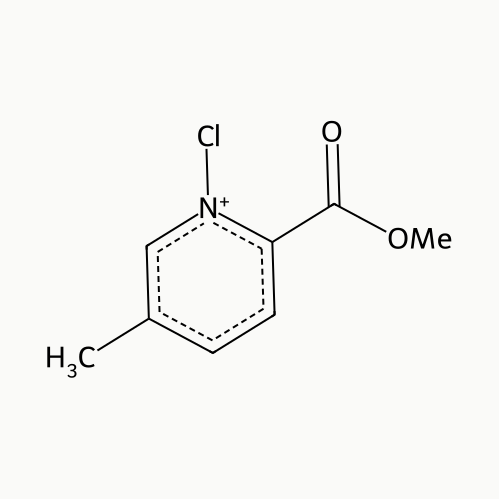 COC(=O)c1ccc(C)c[n+]1Cl